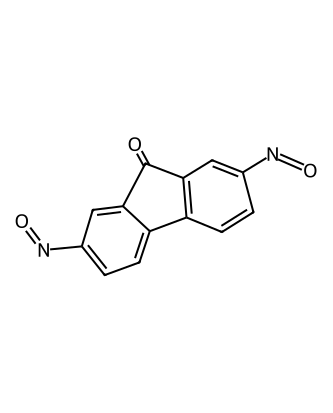 O=Nc1ccc2c(c1)C(=O)c1cc(N=O)ccc1-2